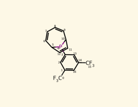 FC(F)(F)c1cc(P2C3C=CC=CC2C=C3)cc(C(F)(F)F)c1